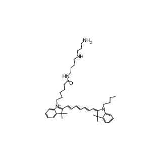 CCCCN1/C(=C/C=C/C=C/C=C/C2=[N+](CCCCCC(=O)NCCCCNCCCN)c3ccccc3C2(C)C)C(C)(C)c2ccccc21